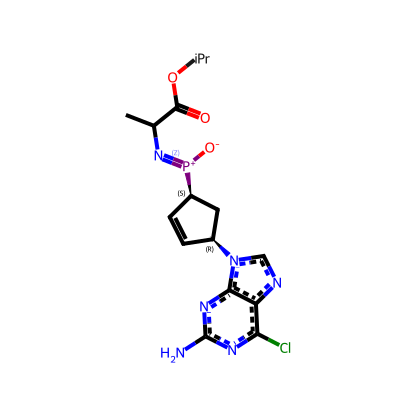 CC(C)OC(=O)C(C)/N=[P+](\[O-])[C@@H]1C=C[C@H](n2cnc3c(Cl)nc(N)nc32)C1